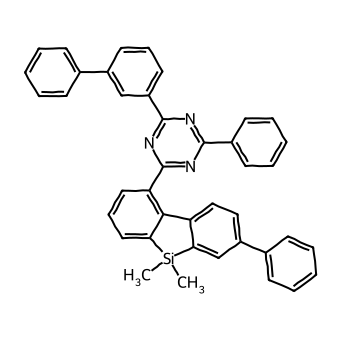 C[Si]1(C)c2cc(-c3ccccc3)ccc2-c2c(-c3nc(-c4ccccc4)nc(-c4cccc(-c5ccccc5)c4)n3)cccc21